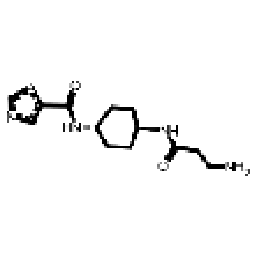 NCCC(=O)N[C@H]1CC[C@H](NC(=O)c2cncs2)CC1